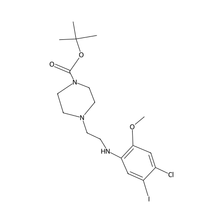 COc1cc(Cl)c(I)cc1NCCN1CCN(C(=O)OC(C)(C)C)CC1